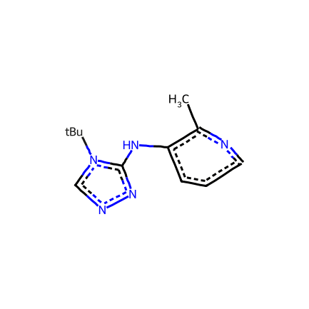 Cc1ncccc1Nc1nncn1C(C)(C)C